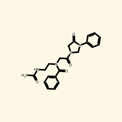 NC(=O)NCCN(CC(=O)N1CC(=O)N(c2ccccc2)C1)C(=O)c1ccccc1